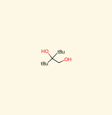 CC(C)(C)C(O)(CO)C(C)(C)C